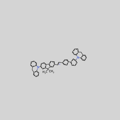 CC1(C)c2cc(/C=C/c3ccc(-c4cccc(N5c6ccccc6Cc6ccccc65)c4)cc3)ccc2-c2ccc(N3c4ccccc4Cc4ccccc43)cc21